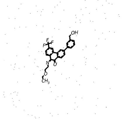 CCOCCN=C1C(=O)c2ccc(-c3cccc(CO)c3)cc2-c2cc(C(F)(F)F)ccc21